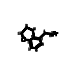 CC(C)Cc1cccc2c1CCCO2